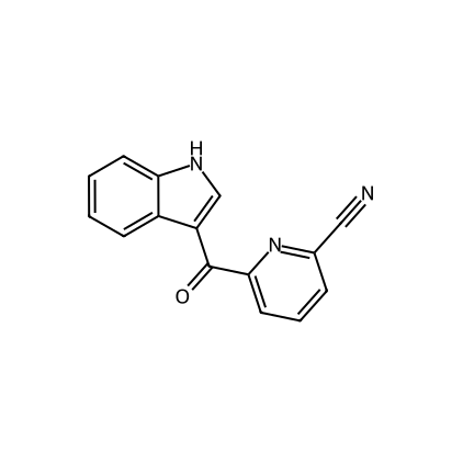 N#Cc1cccc(C(=O)c2c[nH]c3ccccc23)n1